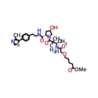 COC(=O)CCCCOCC(=O)N[C@@H](C)C(C)(C)C(=O)N1C[C@H](O)C[C@H]1C(=O)NCCc1ccc(-c2scnc2C)cc1